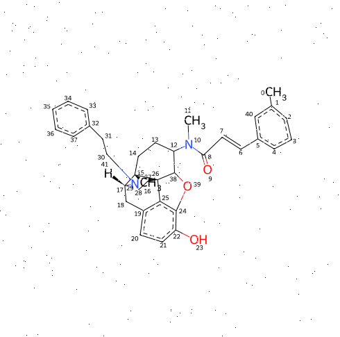 Cc1cccc(/C=C/C(=O)N(C)C2CC[C@@]3(C)[C@H]4Cc5ccc(O)c6c5[C@@]3(CCN4CCc3ccccc3)C2O6)c1